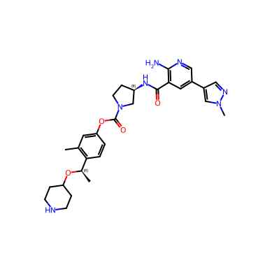 Cc1cc(OC(=O)N2CC[C@@H](NC(=O)c3cc(-c4cnn(C)c4)cnc3N)C2)ccc1[C@@H](C)OC1CCNCC1